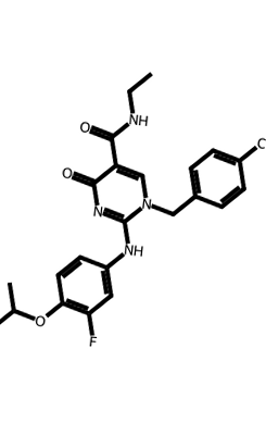 CCNC(=O)c1cn(Cc2ccc(Cl)cc2)c(Nc2ccc(OC(C)C)c(F)c2)nc1=O